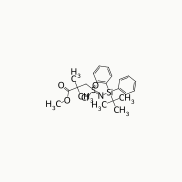 COC(=O)C(C)(C)CS(=O)(Cl)=N[Si](c1ccccc1)(c1ccccc1)C(C)(C)C